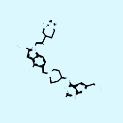 Cc1nc(NC2CCN(Cc3ccc4c(cc(C#N)n4C[C@H](C)C4CCS(=O)(=O)NC4)c3C)CC2)c2cc(CC(F)(F)F)sc2n1